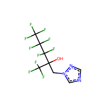 OC(Cn1cncn1)(C(F)(F)F)C(F)(F)C(F)(F)C(F)(F)F